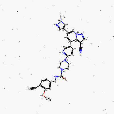 C#Cc1ccc(CNC(=S)N2CCN(c3ccc(-c4cc(-c5cnn(C)c5)cn5ncc(C#N)c45)cn3)CC2)cc1OC